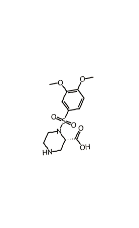 COc1ccc(S(=O)(=O)N2CCNC[C@H]2C(=O)O)cc1OC